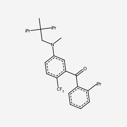 CC(C)c1ccccc1C(=O)c1cc(N(C)CC(C)(C(C)C)C(C)C)ccc1C(F)(F)F